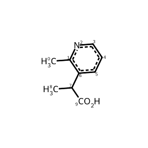 Cc1ncccc1C(C)C(=O)O